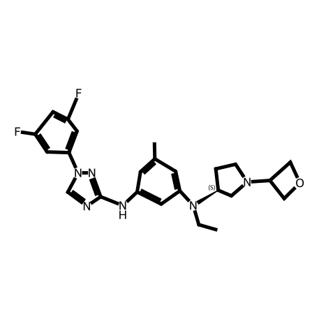 CCN(c1cc(C)cc(Nc2ncn(-c3cc(F)cc(F)c3)n2)c1)[C@H]1CCN(C2COC2)C1